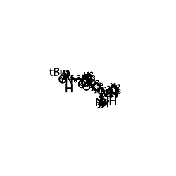 CC(C)(C)OC(=O)NCCCC(=O)N1CCCN1C(=O)c1ccc(CN(Cc2ccccn2)Cc2ncc[nH]2)cc1